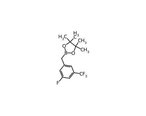 CC1(C)OB(Cc2cc(F)cc(C(F)(F)F)c2)OC1(C)C